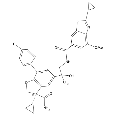 COc1cc(C(=O)NCC(O)(c2cc3c(c(-c4ccc(F)cc4)n2)OC[C@@]3(C(N)=O)C2CC2)C(F)(F)F)cc2sc(C3CC3)nc12